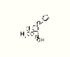 COc1c(Cl)cc(OCc2ccccc2)cc1/C=N/O